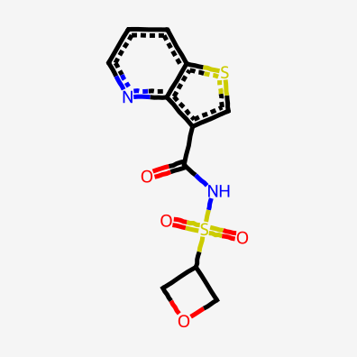 O=C(NS(=O)(=O)C1COC1)c1csc2cccnc12